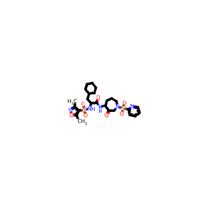 Cc1noc(C)c1S(=O)(=O)NC(CC1CCCCC1)C(=O)NC1CCCN(S(=O)(=O)c2ccccn2)CC1=O